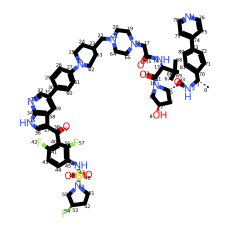 C[C@H](NC(=O)[C@@H]1C[C@@H](O)CN1C(=O)[C@@H](NC(=O)CN1CCN(CC2CCN(c3ccc(-c4cnc5[nH]cc(C(=O)c6c(F)ccc(NS(=O)(=O)N7CC[C@@H](F)C7)c6F)c5c4)cc3)CC2)CC1)C(C)(C)C)c1ccc(-c2ccncc2)cc1